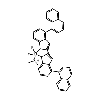 CC1=Cc2c(-c3cccc4ccccc34)cccc2[CH]1[Zr]([F])([F])([CH]1C(C)=Cc2c(-c3cccc4ccccc34)cccc21)[SiH](C)C